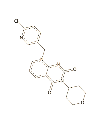 O=c1nc2n(Cc3ccc(Cl)nc3)cccc-2c(=O)n1C1CCOCC1